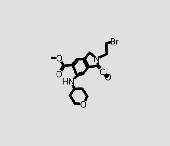 COC(=O)c1cc2c(cc1NC1CCOCC1)C(=C=O)N(CCBr)C2